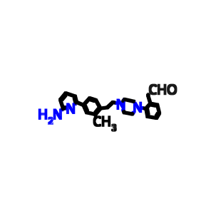 Cc1cc(-c2cccc(N)n2)ccc1CCN1CCN(c2ccccc2CC=O)CC1